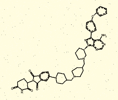 Nc1ncnc2c1c(-c1ccc(Oc3ccccc3)cc1)nn2[C@@H]1CCCN(CC2CCN(CC3CCN(c4ccc5c(c4)C(=O)N(C4CCC(=O)NC4=O)C5=O)CC3)CC2)C1